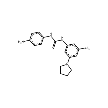 Nc1ccc(NC(=S)Nc2cc(N3CCCC3)cc(C(F)(F)F)c2)cc1